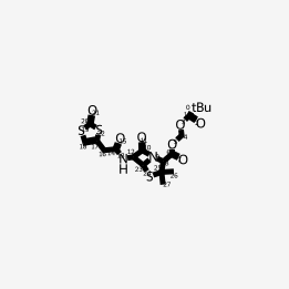 CC(C)(C)C(=O)OCOC(=O)C1N2C(=O)C(NC(=O)Cc3csc(=O)s3)C2SC1(C)C